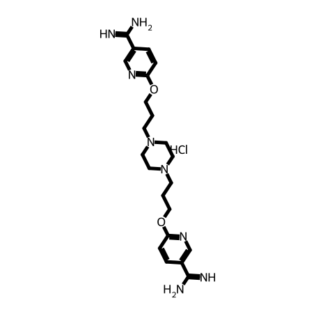 Cl.N=C(N)c1ccc(OCCCN2CCN(CCCOc3ccc(C(=N)N)cn3)CC2)nc1